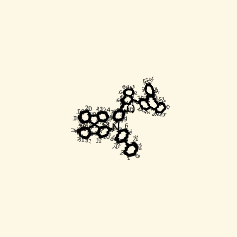 c1ccc(-c2ccc(N(c3ccc4c(c3)C3(c5ccccc5-c5ccccc53)c3ccccc3-4)c3ccc4c(c3)oc3c(-c5ccc6c7ccccc7c7ccccc7c6c5)c5ccccc5cc34)cc2)cc1